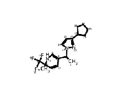 CC(C1=CNC(C)(C(F)(F)F)C=C1)n1ccc(C2CCCC2)n1